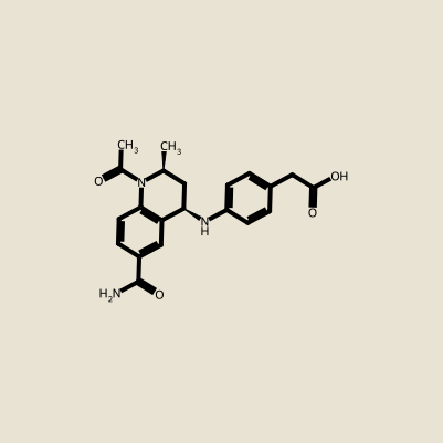 CC(=O)N1c2ccc(C(N)=O)cc2[C@H](Nc2ccc(CC(=O)O)cc2)C[C@@H]1C